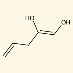 C=CCC(O)=CO